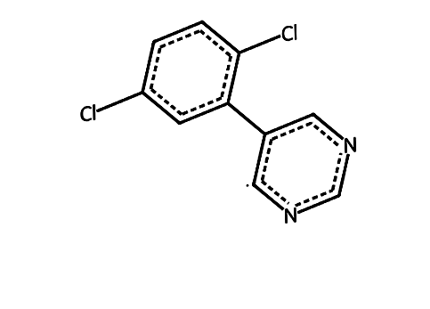 Clc1ccc(Cl)c(-c2[c]ncnc2)c1